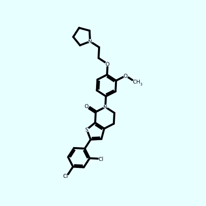 COc1cc(N2CCc3cc(-c4ccc(Cl)cc4Cl)sc3C2=O)ccc1OCCN1CCCC1